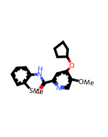 COc1cnc(C(=O)Nc2ccccc2SC)cc1OC1CCCC1